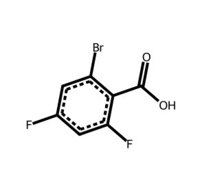 O=C(O)c1c(F)cc(F)cc1Br